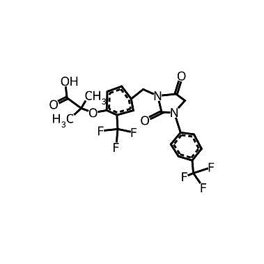 CC(C)(Oc1ccc(CN2C(=O)CN(c3ccc(C(F)(F)F)cc3)C2=O)cc1C(F)(F)F)C(=O)O